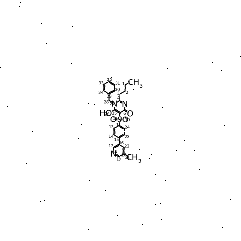 CCCCc1nc(=O)c(S(=O)(=O)c2ccc(-c3cncc(C)c3)cc2)c(O)n1Cc1ccccc1